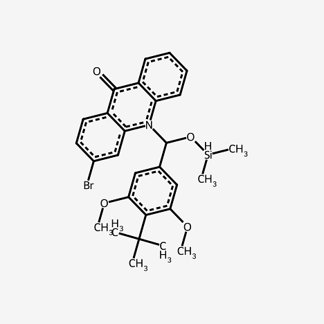 COc1cc(C(O[SiH](C)C)n2c3ccccc3c(=O)c3ccc(Br)cc32)cc(OC)c1C(C)(C)C